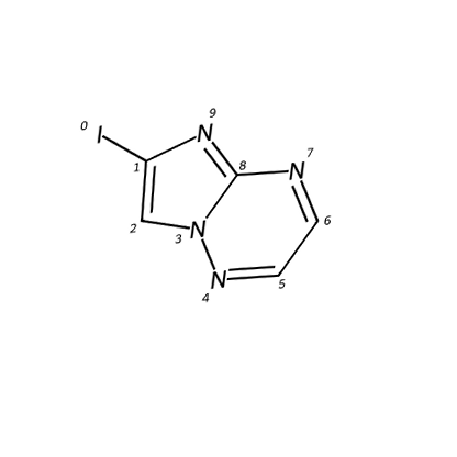 Ic1cn2nccnc2n1